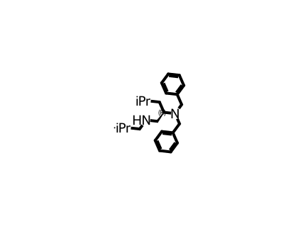 C[C](C)CNC[C@@H](CC(C)C)N(Cc1ccccc1)Cc1ccccc1